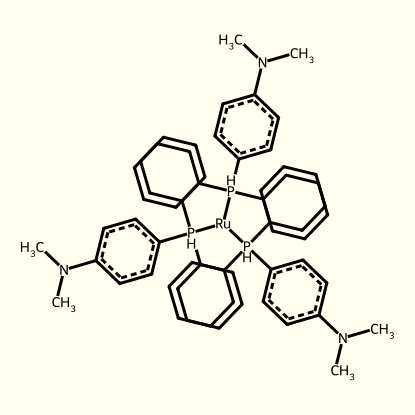 CN(C)c1ccc([PH](C2CCCCC2)(C2CCCCC2)[Ru]([PH](c2ccc(N(C)C)cc2)(C2CCCCC2)C2CCCCC2)[PH](c2ccc(N(C)C)cc2)(C2CCCCC2)C2CCCCC2)cc1